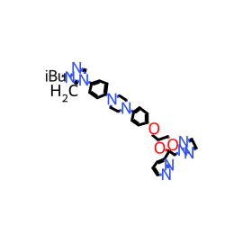 C=C1N(c2ccc(N3CCN(c4ccc(OCC5COC(Cn6nccn6)(c6cccnn6)O5)cc4)CC3)cc2)C=NN1C(C)CC